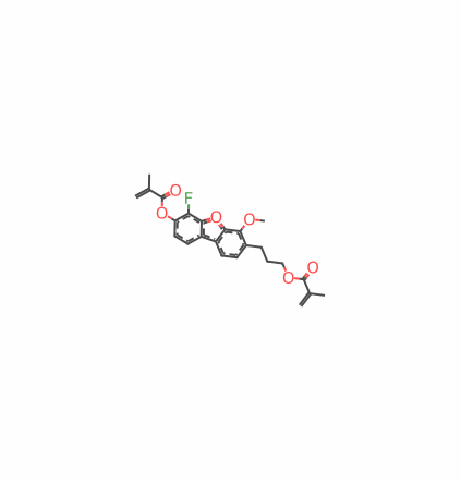 C=C(C)C(=O)OCCCc1ccc2c(oc3c(F)c(OC(=O)C(=C)C)ccc32)c1OC